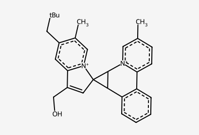 Cc1ccc2[n+](c1)C1C(c3ccccc3-2)C12C=C(CO)c1cc(CC(C)(C)C)c(C)c[n+]12